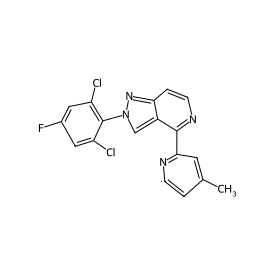 Cc1c[c]nc(-c2nccc3nn(-c4c(Cl)cc(F)cc4Cl)cc23)c1